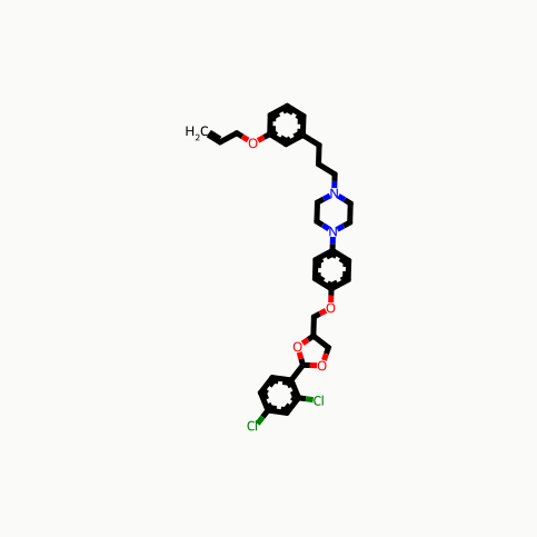 C=CCOc1cccc(CCCN2CCN(c3ccc(OCC4COC(c5ccc(Cl)cc5Cl)O4)cc3)CC2)c1